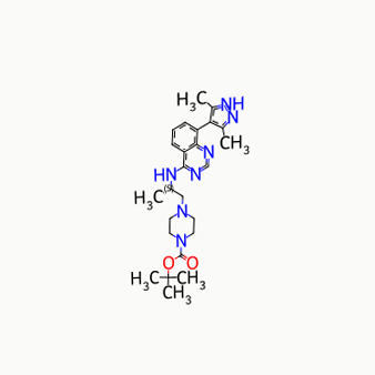 Cc1n[nH]c(C)c1-c1cccc2c(N[C@@H](C)CN3CCN(C(=O)OC(C)(C)C)CC3)ncnc12